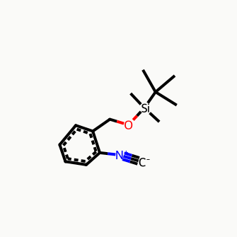 [C-]#[N+]c1ccccc1CO[Si](C)(C)C(C)(C)C